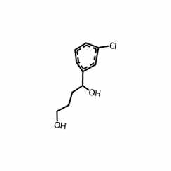 OCCCC(O)c1cccc(Cl)c1